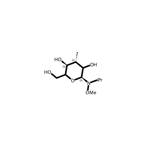 CON(C(C)C)[C@H]1OC(CO)[C@@H](O)[C@H](C)C1O